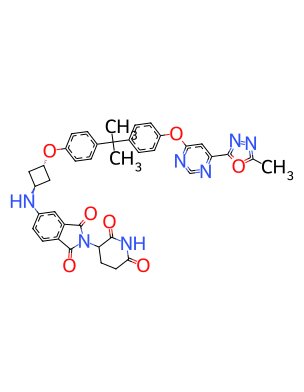 Cc1nnc(-c2cc(Oc3ccc(C(C)(C)c4ccc(O[C@H]5C[C@H](Nc6ccc7c(c6)C(=O)N(C6CCC(=O)NC6=O)C7=O)C5)cc4)cc3)ncn2)o1